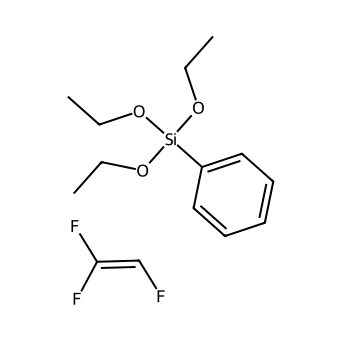 CCO[Si](OCC)(OCC)c1ccccc1.FC=C(F)F